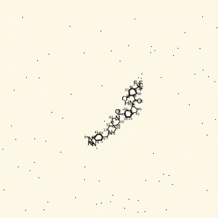 Cn1nnc2cc(CN3CCC4(CC3)CCN(C(=O)c3ccc5c(c3)C(NC(=O)c3cc(C(F)(F)F)ccc3Cl)CC5)CC4)ccc21